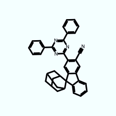 N#Cc1cc2c(cc1-c1nc(-c3ccccc3)nc(-c3ccccc3)n1)C1(c3ccccc3-2)C2CC3CC(C2)CC1C3